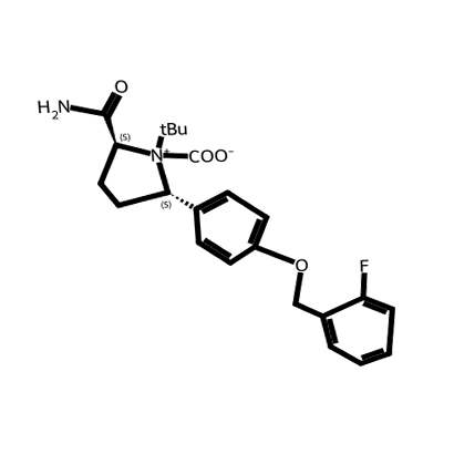 CC(C)(C)[N+]1(C(=O)[O-])[C@H](C(N)=O)CC[C@H]1c1ccc(OCc2ccccc2F)cc1